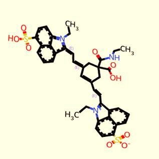 CCNC(=O)C1(C(=O)O)CC(/C=C/C2=[N+](CC)c3ccc(S(=O)(=O)[O-])c4cccc2c34)=CC(=C/C=c2\c3cccc4c(S(=O)(=O)O)ccc(c43)n2CC)/C1